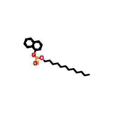 CCCCCCCCCCCCO[PH](=O)Oc1cccc2ccccc12